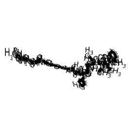 CCCO[C@H](C[C@H](C(C)C)N(CCC)C(=O)[C@@H](NC(=O)[C@H]1CCCCN1C)[C@@H](C)CC)c1nc(C(=O)N[C@@H](Cc2ccc(O)cc2)C[C@H](C)C(=O)NNC(=O)OCCOCCOCCOCCNC(=O)CNC(=O)CNC(=O)CNC(=O)OC(C)(C)C)cs1